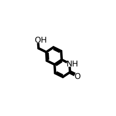 O=c1ccc2cc(CO)ccc2[nH]1